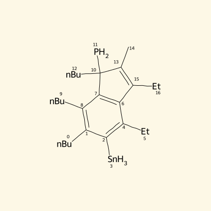 CCCCc1[c]([SnH3])c(CC)c2c(c1CCCC)C(P)(CCCC)C(C)=C2CC